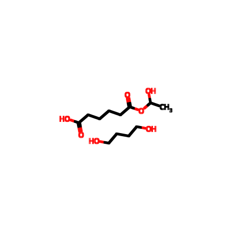 CC(O)OC(=O)CCCCC(=O)O.OCCCCO